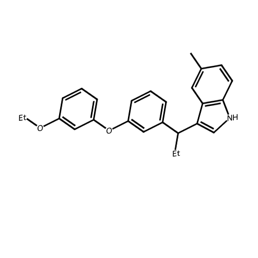 [CH2]CC(c1cccc(Oc2cccc(OCC)c2)c1)c1c[nH]c2ccc(C)cc12